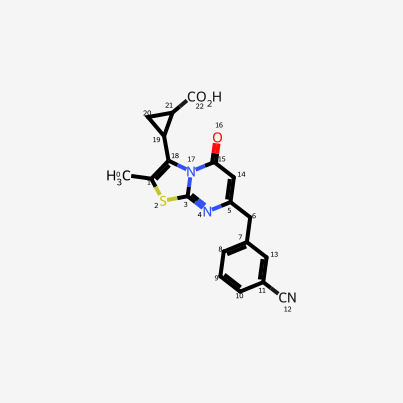 Cc1sc2nc(Cc3cccc(C#N)c3)cc(=O)n2c1C1CC1C(=O)O